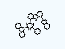 c1ccc(-c2nc(-c3cccc4c3sc3c(-c5nc6ccccc6s5)cccc34)nc(-n3c4ccccc4c4ccccc43)n2)cc1